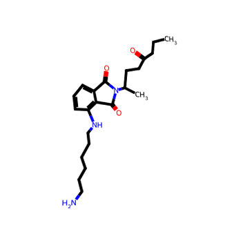 CCCC(=O)CCC(C)N1C(=O)c2cccc(NCCCCCCN)c2C1=O